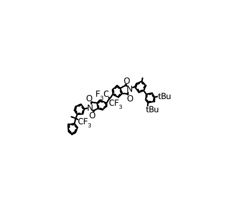 Cc1cc(-c2cc(C(C)(C)C)cc(C(C)(C)C)c2)cc(N2C(=O)c3ccc(C(c4ccc5c(c4)C(=O)N(c4cccc(C(C)(c6ccccc6)C(F)(F)F)c4)C5=O)(C(F)(F)F)C(F)(F)F)cc3C2=O)c1